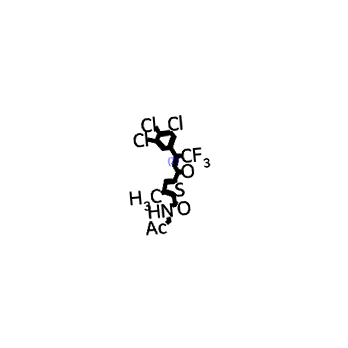 CC(=O)CNC(=O)c1sc(C(=O)/C=C(/c2cc(Cl)c(Cl)c(Cl)c2)C(F)(F)F)cc1C